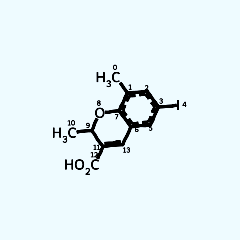 Cc1cc(I)cc2c1OC(C)C(C(=O)O)=C2